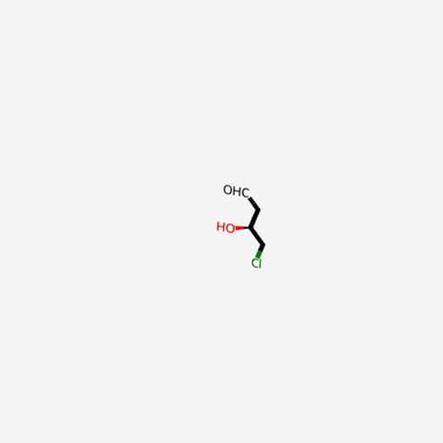 O=CC[C@H](O)CCl